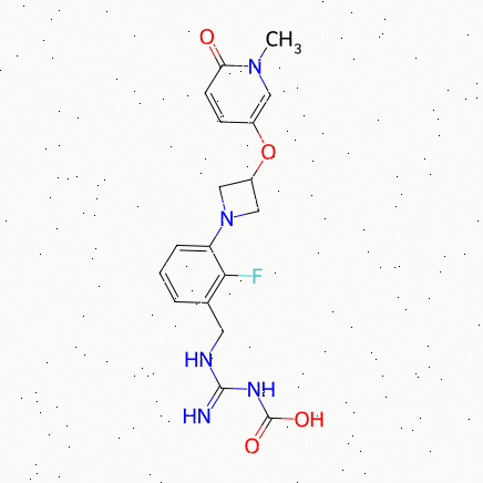 Cn1cc(OC2CN(c3cccc(CNC(=N)NC(=O)O)c3F)C2)ccc1=O